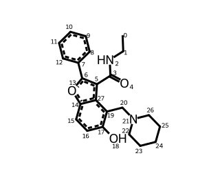 CCNC(=O)c1c(-c2ccccc2)oc2ccc(O)c(CN3CCCCC3)c12